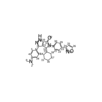 CN(C)c1ccc(-c2n[nH]c3c2C(C2CCCCC2)N(c2ccc(-c4ccon4)cc2)C3=O)cc1